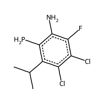 CC(C)c1c(P)c(N)c(F)c(Cl)c1Cl